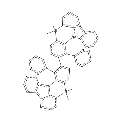 C[Si]1(C)c2ccc(-c3ccc4c(c3-c3ccccn3)-n3c5ccccc5c5cccc(c53)[Si]4(C)C)c(-c3ccccn3)c2-n2c3ccccc3c3cccc1c32